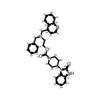 O=C(OCCN(Cc1ccccc1)Cc1ccnc2ccccc12)N1CCC(n2c(=O)[nH]c3ccccc32)CC1